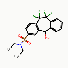 CCN(CC)S(=O)(=O)c1ccc2c(c1)C(O)c1ccccc1C(F)(F)C2(F)F